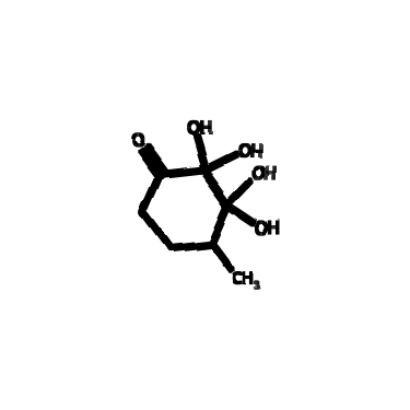 CC1CCC(=O)C(O)(O)C1(O)O